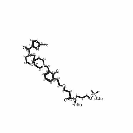 CCCCN(CCCO[Si](C)(C)C(C)(C)C)C(=O)CCOCCc1cccc(CN2CCC3(CC2)CN(C(=O)c2csc(CC)n2)CCO3)c1Cl